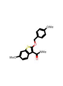 CNC(=O)c1c(OCc2ccc(OC)cc2)sc2cc(OC)ccc12